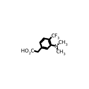 CN(C)c1cc(CC(=O)O)ccc1C(F)(F)F